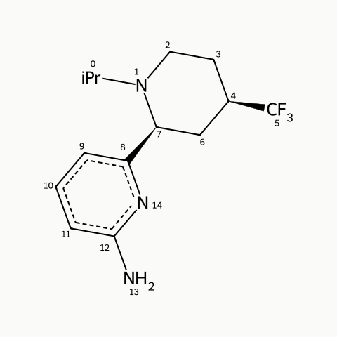 CC(C)N1CC[C@@H](C(F)(F)F)C[C@H]1c1cccc(N)n1